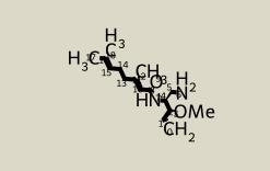 C=C[C@@H](OC)[C@H](CN)NC(=O)/C=C(\C)CCC=C(C)C